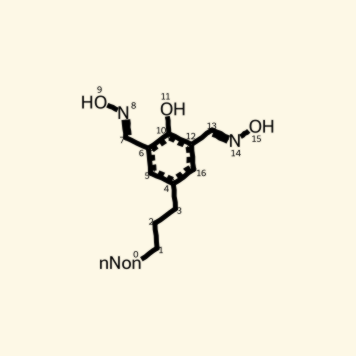 CCCCCCCCCCCCc1cc(C=NO)c(O)c(C=NO)c1